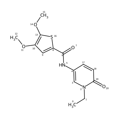 CCn1cc(NC(=O)c2cc(OC)c(OC)s2)ccc1=O